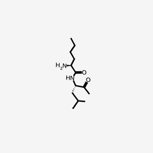 CCCC[C@H](N)C(=O)N[C@@H](CC(C)C)C(C)=O